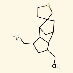 CCC1CC(CC)C2C1C1CC2C2(CCSC2)C1